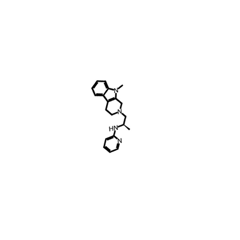 C[C@H](CN1CCc2c(n(C)c3ccccc23)C1)Nc1ccccn1